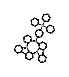 c1ccc([Si](c2ccccc2)(c2ccccc2)c2ccc(-n3c4ccccc4n4c5ccccc5c5cccc(c54)n4c5ccccc5c5cccc3c54)cc2)cc1